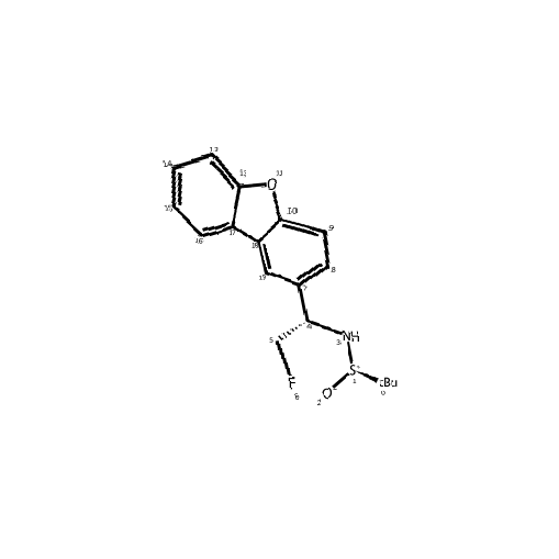 CC(C)(C)[S@@+]([O-])N[C@H](CF)c1ccc2oc3ccccc3c2c1